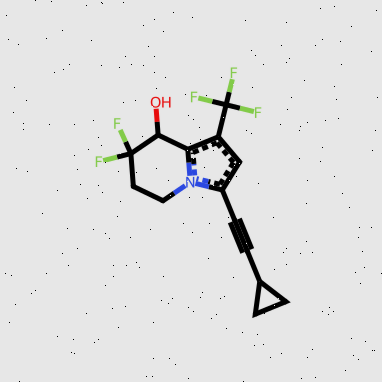 OC1c2c(C(F)(F)F)cc(C#CC3CC3)n2CCC1(F)F